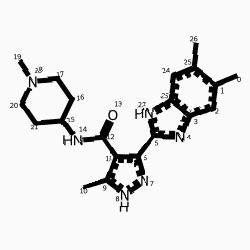 Cc1cc2nc(-c3n[nH]c(C)c3C(=O)NC3CCN(C)CC3)[nH]c2cc1C